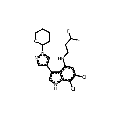 FC(F)CCNc1cc(Cl)c(Cl)c2[nH]cc(-c3cnn(C4CCCCO4)c3)c12